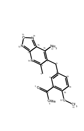 COC(=O)c1cc(Cc2c(C)nc3nonc3c2N)ccc1OC(F)(F)F